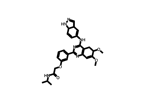 COC1=Cc2nc(-c3cccc(OCC(=O)NC(C)C)c3)nc(NC3=CC4C=NNC4C=C3)c2CC1OC